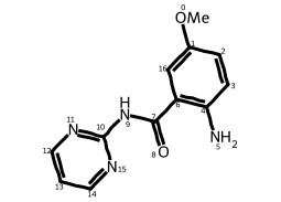 COc1ccc(N)c(C(=O)Nc2ncccn2)c1